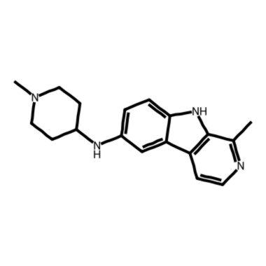 Cc1nccc2c1[nH]c1ccc(NC3CCN(C)CC3)cc12